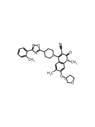 Cc1cc2c(N3CCC(c4nc(-c5ccccc5C)no4)CC3)c(C#N)c(=O)n(C)c2cc1O[C@H]1CCOC1